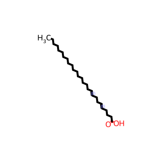 CCCCCCCCCCCCCCCCC/C=C/CC/C=C/CCCC(=O)O